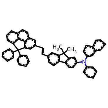 CC1(C)c2cc(/C=C/c3cc4c5c(ccc6cccc(c65)C4(c4ccccc4)c4ccccc4)c3)ccc2-c2ccc(N(c3ccccc3)c3ccc4ccccc4c3)cc21